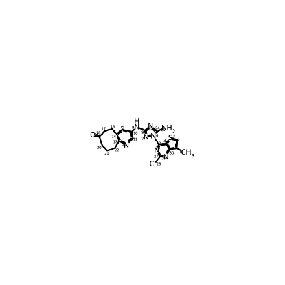 Cc1csc2c(-n3nc(Nc4cnc5c(c4)CCC(=O)CCC5)nc3N)nc(Cl)nc12